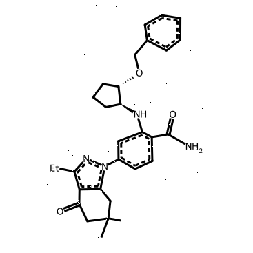 CCc1nn(-c2ccc(C(N)=O)c(N[C@H]3CCC[C@@H]3OCc3ccccc3)c2)c2c1C(=O)CC(C)(C)C2